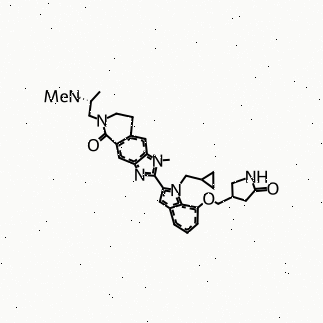 CN[C@H](C)CN1CCc2cc3c(cc2C1=O)nc(-c1cc2cccc(OCC4CNC(=O)C4)c2n1CC1CC1)n3C